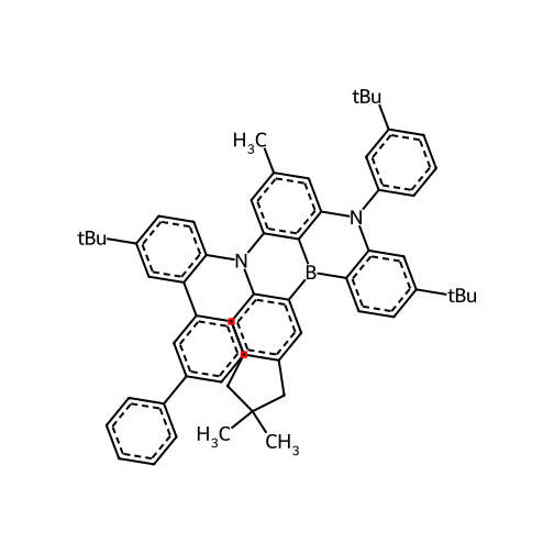 Cc1cc2c3c(c1)N(c1ccc(C(C)(C)C)cc1-c1cccc(-c4ccccc4)c1)c1cc4c(cc1B3c1ccc(C(C)(C)C)cc1N2c1cccc(C(C)(C)C)c1)CC(C)(C)C4